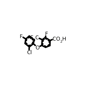 O=C(O)c1ccc(Oc2ccc(F)cc2Cl)c(C(F)(F)F)c1F